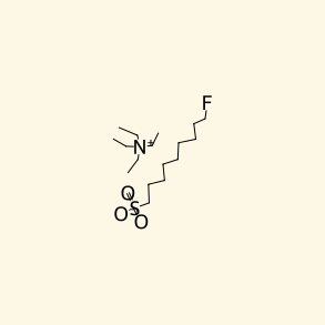 CC[N+](CC)(CC)CC.O=S(=O)([O-])CCCCCCCCCF